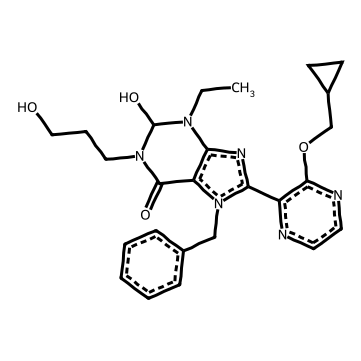 CCN1c2nc(-c3nccnc3OCC3CC3)n(Cc3ccccc3)c2C(=O)N(CCCO)C1O